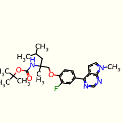 CC(C)CC(C)(COc1ccc(-c2ncnc3c2ccn3C)cc1F)NC(=O)OC(C)(C)C